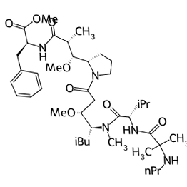 CCCNC(C)(C)C(=O)N[C@H](C(=O)N(C)[C@@H]([C@@H](C)CC)[C@@H](CC(=O)N1CCC[C@H]1[C@H](OC)[C@@H](C)C(=O)N[C@@H](Cc1ccccc1)C(=O)OC)OC)C(C)C